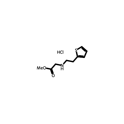 COC(=O)CNCCc1cccs1.Cl